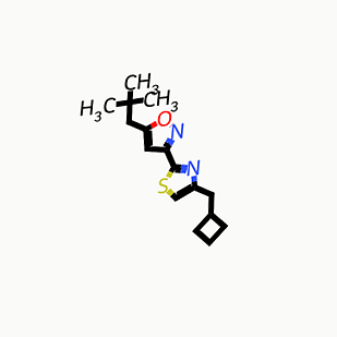 CC(C)(C)Cc1cc(-c2nc(CC3CCC3)cs2)no1